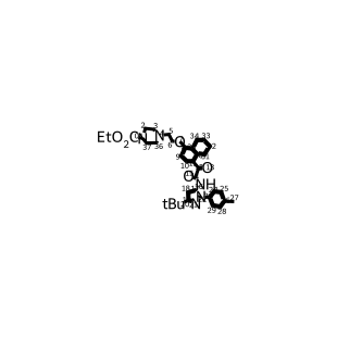 CCOC(=O)N1CCN(CCOc2ccc(C(=O)C(=O)Nc3cc(C(C)(C)C)nn3-c3ccc(C)cc3)c3ccccc23)CC1